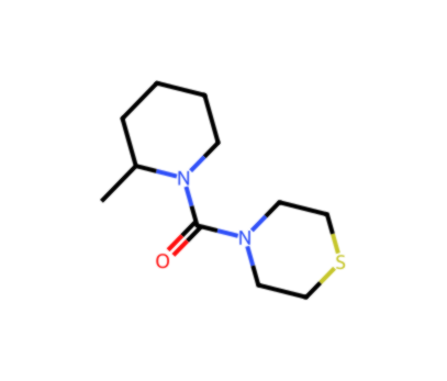 CC1CCCCN1C(=O)N1CCSCC1